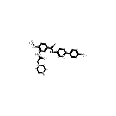 Nc1ccc(-c2ccc(NC(=O)c3ccc(OC(F)(F)F)c(NC(=O)CN4CCOCC4)c3)cn2)cc1